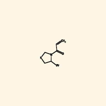 C=CC(=O)N1CSCC1C(C)C